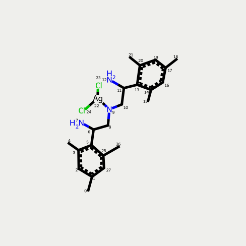 Cc1cc(C)c(C(N)C[N](CC(N)c2c(C)cc(C)cc2C)[Ag]([Cl])[Cl])c(C)c1